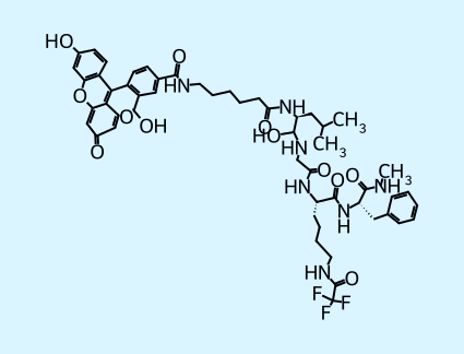 CNC(=O)[C@H](Cc1ccccc1)NC(=O)[C@H](CCCCNC(=O)C(F)(F)F)NC(=O)CNC(O)[C@H](CC(C)C)NC(=O)CCCCCNC(=O)c1ccc(-c2c3ccc(=O)cc-3oc3cc(O)ccc23)c(C(=O)O)c1